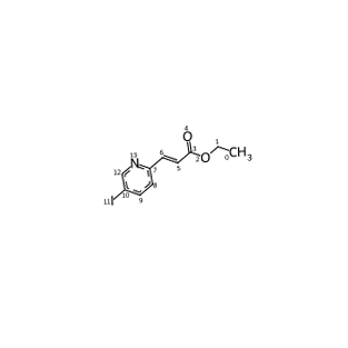 CCOC(=O)C=Cc1ccc(I)cn1